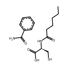 CCCCCC(=O)N[C@@H](CS)C(=O)O.NC(=O)c1ccccc1